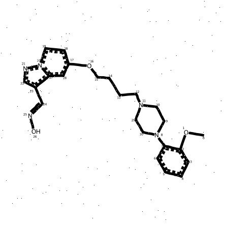 COc1ccccc1N1CCN(CCCCOc2ccn3ncc(C=NO)c3c2)CC1